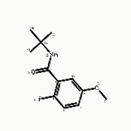 COc1ccc(F)c(C(=O)NC(C)(C)C)c1